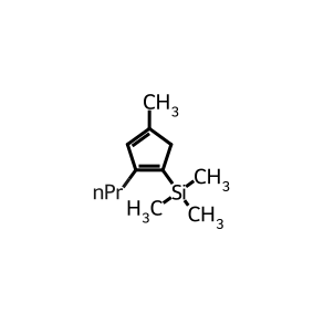 CCCC1=C([Si](C)(C)C)CC(C)=C1